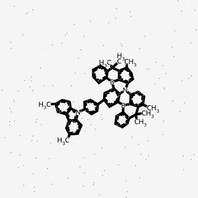 Cc1ccc2c(c1)c1cc(C)ccc1n2-c1ccc(-c2cc3c4c(c2)B2c5ccccc5C(C)(C)c5c(C)ccc(c52)N4c2ccc(C)c4c2B3c2ccccc2C4(C)C)cc1